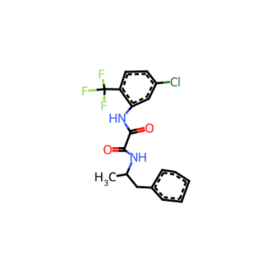 CC(Cc1ccccc1)NC(=O)C(=O)Nc1cc(Cl)ccc1C(F)(F)F